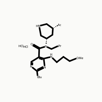 COCCCNc1nc(C(C)(C)C)ncc1C(=O)N(CC(C)C)[C@@H]1CNC[C@H](C(C)=O)C1.Cl.Cl